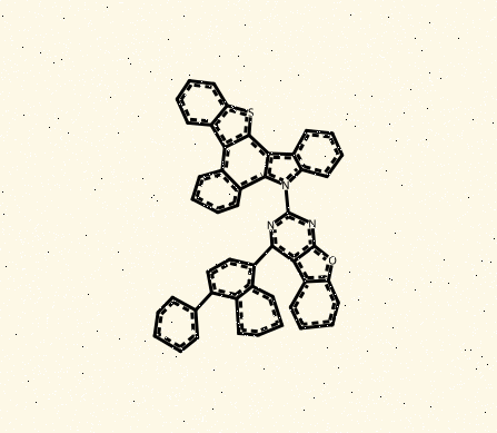 c1ccc(-c2ccc(-c3nc(-n4c5ccccc5c5c6sc7ccccc7c6c6ccccc6c54)nc4oc5ccccc5c34)c3ccccc23)cc1